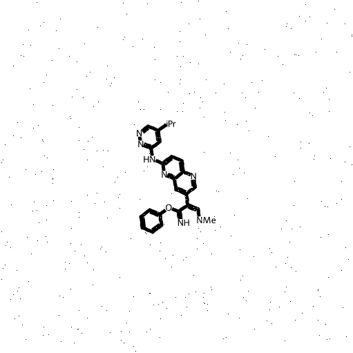 CN/C=C(\C(=N)Oc1ccccc1)c1cnc2ccc(Nc3cc(C(C)C)cnn3)nc2c1